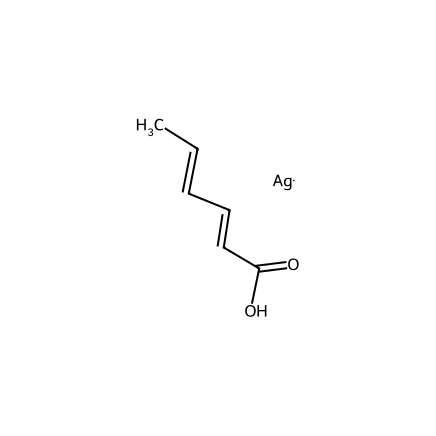 C/C=C/C=C/C(=O)O.[Ag]